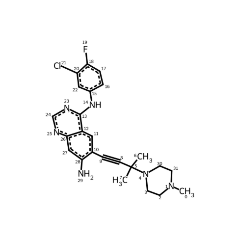 CN1CCN(C(C)(C)C#Cc2cc3c(Nc4ccc(F)c(Cl)c4)ncnc3cc2N)CC1